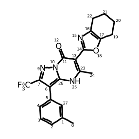 Cc1cccc(-c2c(C(F)(F)F)nn3c(=O)c(-c4nc5c(o4)CCCC5)c(C)[nH]c23)c1